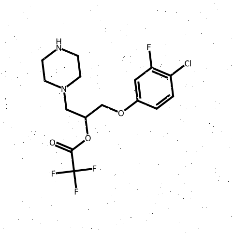 O=C(OC(COc1ccc(Cl)c(F)c1)CN1CCNCC1)C(F)(F)F